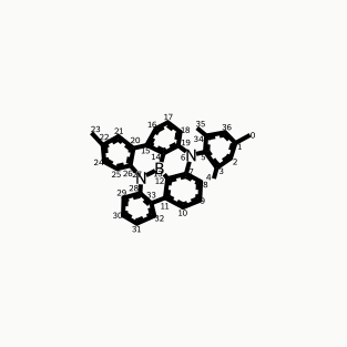 Cc1cc(C)c(N2c3cccc4c3B3c5c(cccc52)-c2cc(C)ccc2N3c2ccccc2-4)c(C)c1